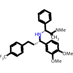 C=C(NC)[C@H](N[C@@H](CCc1ccc(C(F)(F)F)cc1)c1ccc(OC)c(OC)c1)c1ccccc1